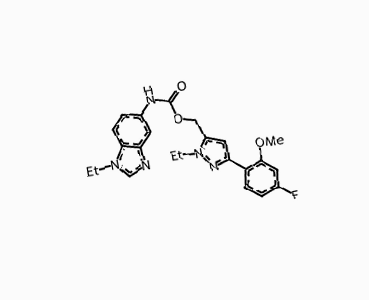 CCn1nc(-c2ccc(F)cc2OC)cc1COC(=O)Nc1ccc2c(c1)ncn2CC